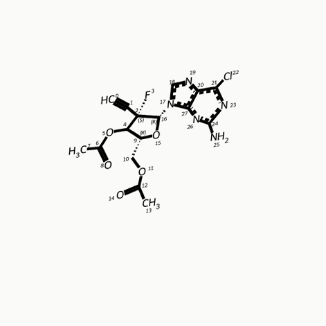 C#C[C@]1(F)C(OC(C)=O)[C@@H](COC(C)=O)O[C@H]1n1cnc2c(Cl)nc(N)nc21